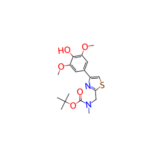 COc1cc(-c2csc(CN(C)C(=O)OC(C)(C)C)n2)cc(OC)c1O